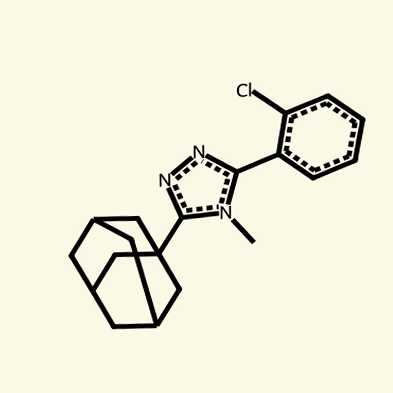 Cn1c(-c2ccccc2Cl)nnc1C12CC3CC(CC(C3)C1)C2